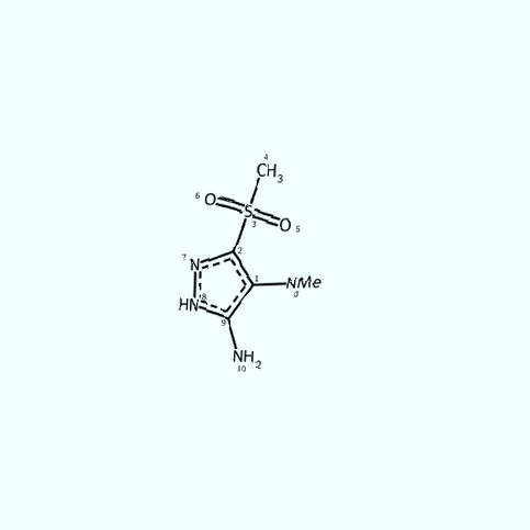 CNc1c(S(C)(=O)=O)n[nH]c1N